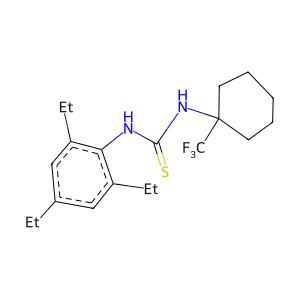 CCc1cc(CC)c(NC(=S)NC2(C(F)(F)F)CCCCC2)c(CC)c1